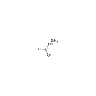 [O-][I+2]([O-])O.[SrH2]